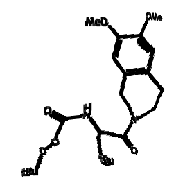 COc1cc2c(cc1OC)CN(C(=O)C(NC(=O)OOC(C)(C)C)C(C)(C)C)CC2